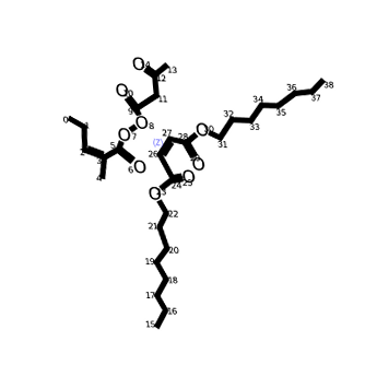 CCC=C(C)C(=O)OOC(=O)CC(C)=O.CCCCCCCCOC(=O)/C=C\C(=O)OCCCCCCCC